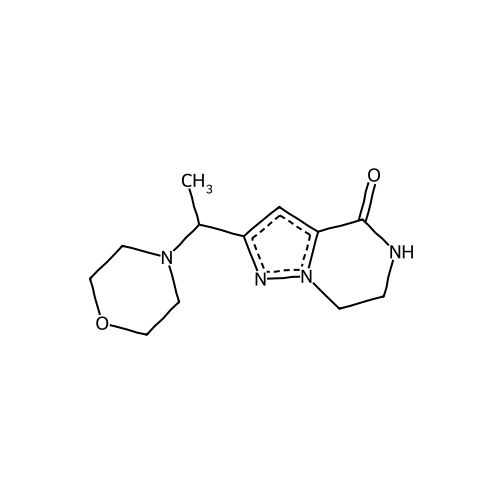 CC(c1cc2n(n1)CCNC2=O)N1CCOCC1